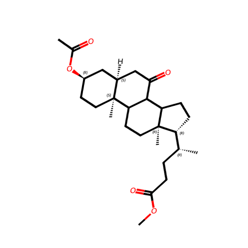 COC(=O)CC[C@@H](C)[C@H]1CCC2C3C(=O)C[C@@H]4C[C@H](OC(C)=O)CC[C@]4(C)C3CC[C@@]21C